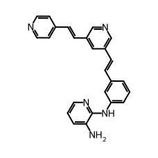 Nc1cccnc1Nc1cccc(/C=C/c2cncc(/C=C/c3ccncc3)c2)c1